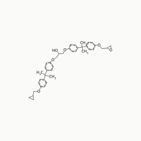 CC(C)(c1ccc(OCC(O)COc2ccc(C(C)(C)c3ccc(OCC4CO4)cc3)cc2)cc1)c1ccc(OCC2CC2)cc1